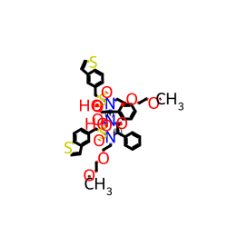 COCCOCCN([C@@H](C(=O)N(O)[C@](C(=O)O)(c1ccccc1)N(CCOCCOC)S(=O)(=O)Cc1ccc2sccc2c1)c1ccccc1)S(=O)(=O)Cc1ccc2sccc2c1